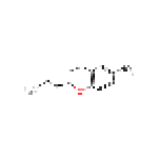 O=[N+]([O-])c1ccc2c(c1)CC[C@H](CCC(F)(F)F)O2